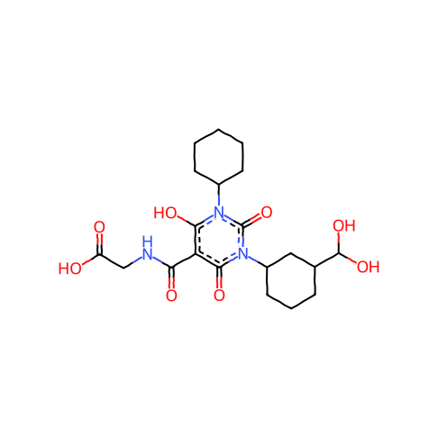 O=C(O)CNC(=O)c1c(O)n(C2CCCCC2)c(=O)n(C2CCCC(C(O)O)C2)c1=O